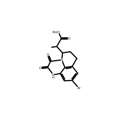 COC(=O)C(C)C1CCc2cc(Br)cc3[nH]c(=O)c(=O)n1c23